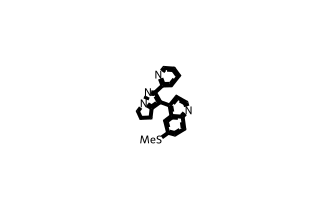 CSc1ccc2nccc(-c3c(-c4ccccn4)nn4c3CCC4)c2c1